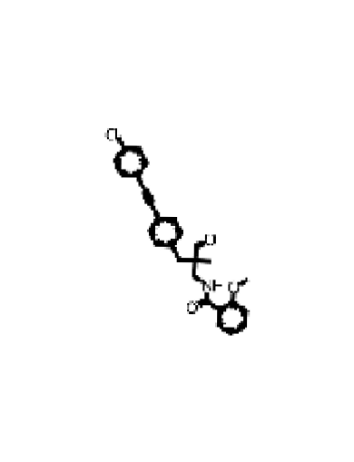 COc1ccccc1C(=O)NCC(C)([C]=O)Cc1ccc(C#Cc2ccc(Cl)cc2)cc1